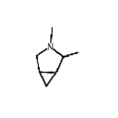 CC1C2CC2CN1I